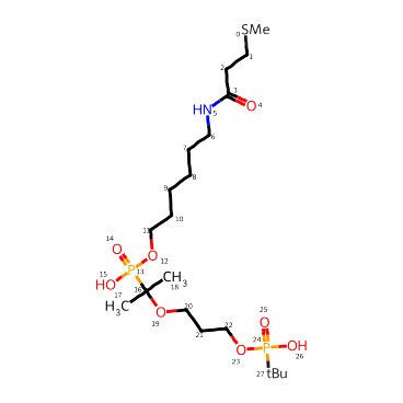 CSCCC(=O)NCCCCCCOP(=O)(O)C(C)(C)OCCCOP(=O)(O)C(C)(C)C